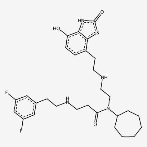 O=C(CCNCCc1cc(F)cc(F)c1)N(CCNCCc1ccc(O)c2[nH]c(=O)sc12)C1CCCCCC1